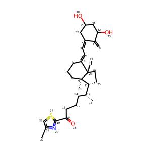 C=C1/C(=C\C=C2/CCC[C@]3(C)[C@@H]([C@H](C)CCCC(=O)c4nc(C)cs4)CC[C@@H]23)CC(O)CC1O